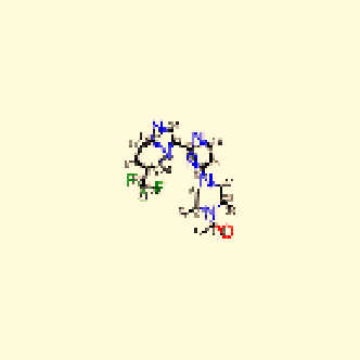 CC(=O)N1C(C)CN(c2ccnc(-c3cnc4ccc(C(F)(F)F)cn34)n2)CC1C